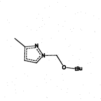 Cc1ccn(COC(C)(C)C)n1